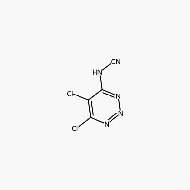 N#CNc1nnnc(Cl)c1Cl